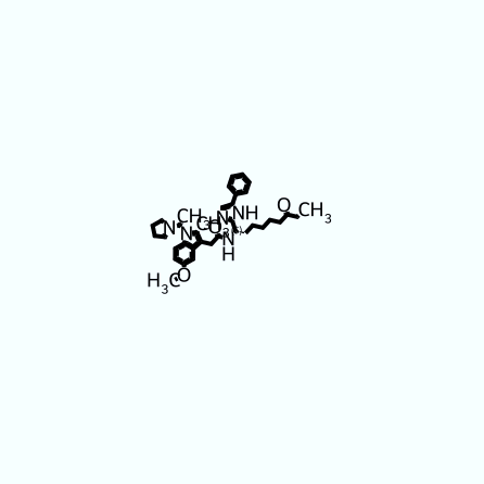 CCC(=O)CCCCC[C@H](NC(=O)Cc1c(C)n(C(C)[N+]2=CCCC2)c2ccc(OC)cc12)c1ncc(-c2ccccc2)[nH]1